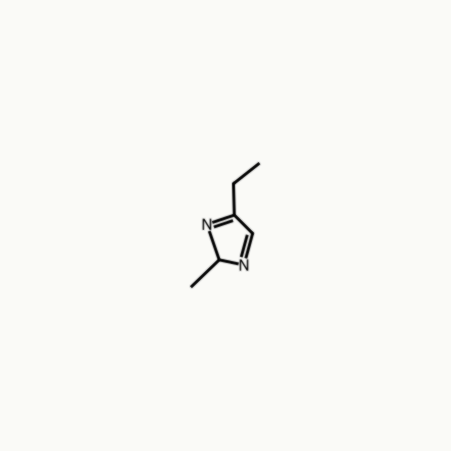 CCC1=NC(C)N=C1